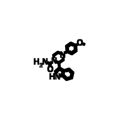 COc1ccc(N2CCN(C(N)=O)C(c3c[nH]c4ccccc34)C2)cc1